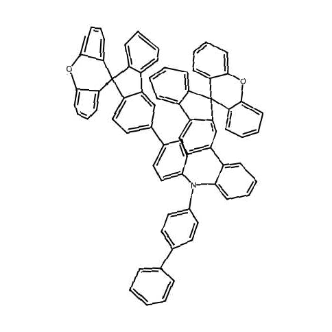 c1ccc(-c2ccc(N(c3ccc(-c4ccc5c(c4)-c4ccccc4C54c5ccccc5Oc5ccccc54)cc3)c3ccccc3-c3ccc4c(c3)C3(c5ccccc5Oc5ccccc53)c3ccccc3-4)cc2)cc1